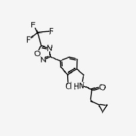 O=C(CC1CC1)NCc1ccc(-c2noc(C(F)(F)F)n2)cc1Cl